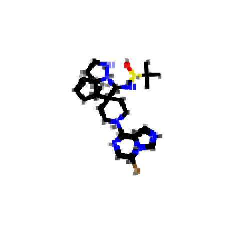 CC(C)(C)[S+]([O-])N[C@@H]1N2NCC[C@@]23C=CC[C@H]3C12CCN(c1ncc(Br)n3cncc13)CC2